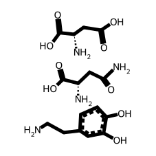 NC(=O)C[C@H](N)C(=O)O.NCCc1ccc(O)c(O)c1.N[C@@H](CC(=O)O)C(=O)O